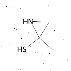 CC1(S)CN1